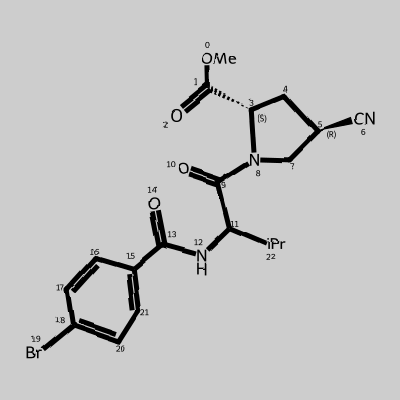 COC(=O)[C@@H]1C[C@@H](C#N)CN1C(=O)C(NC(=O)c1ccc(Br)cc1)C(C)C